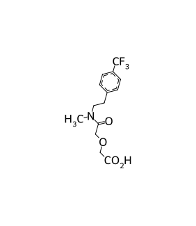 CN(CCc1ccc(C(F)(F)F)cc1)C(=O)COCC(=O)O